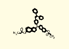 C=CC(=O)Oc1ccc2cc(N(c3ccc(C=C(c4ccccc4)c4ccccc4)cc3)c3ccc4cc(OC(=O)C=C)ccc4c3)ccc2c1